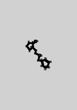 O=C1CCCN1CCOCc1ccccc1